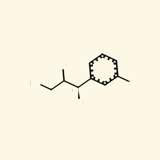 CCC(O)[C@H](O)c1cccc(F)c1